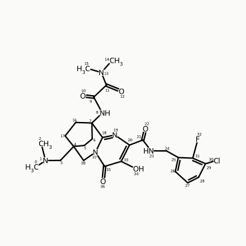 CN(C)CC12CCC(NC(=O)C(=O)N(C)C)(CC1)c1nc(C(=O)NCc3cccc(Cl)c3F)c(O)c(=O)n1C2